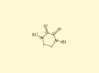 CCN1CCN(CC)C(=O)C1=O